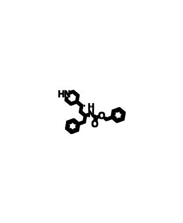 O=C(NC(C[CH]C1CCNCC1)Cc1ccccc1)OCc1ccccc1